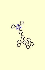 c1ccc(-c2nc(-c3ccccc3)nc(-c3ccc(-c4ccc(-c5cc6c(cc5-c5cccc7ccccc57)-c5ccccc5C65c6ccccc6-c6ccccc65)cc4)cc3)n2)cc1